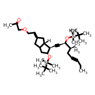 CCC#CC[C@H](C)[C@@H](C#C[C@H]1[C@H](O[Si](C)(C)C(C)(C)C)CC2C/C(=C\COCC(C)=O)C[C@@H]21)O[Si](C)(C)C(C)(C)C